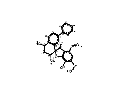 COc1cc(OC)c2c(c1Cl)O[C@]1(C2=O)c2nc(-c3ccccc3)ccc2[C@H](O)C[C@H]1C